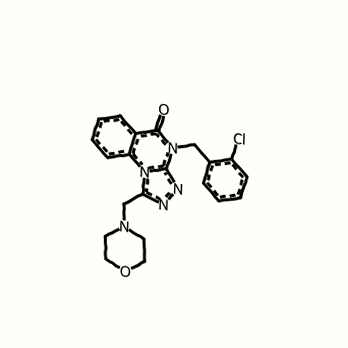 O=c1c2ccccc2n2c(CN3CCOCC3)nnc2n1Cc1ccccc1Cl